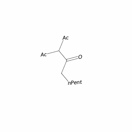 CCCCCCC(=O)C(C(C)=O)C(C)=O